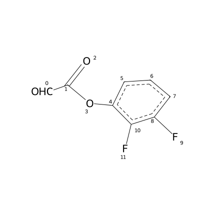 O=CC(=O)Oc1cccc(F)c1F